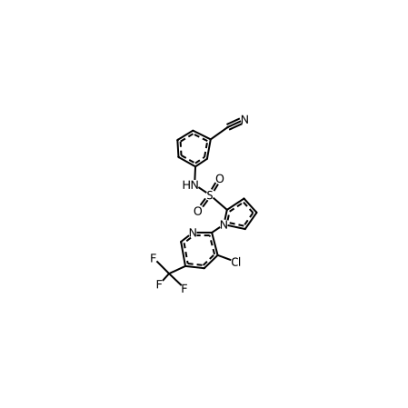 N#Cc1cccc(NS(=O)(=O)c2cccn2-c2ncc(C(F)(F)F)cc2Cl)c1